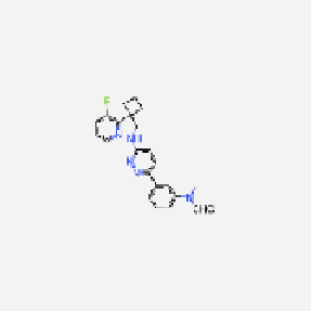 CN(C=O)c1cccc(-c2ccc(NCC3(c4ncccc4F)CCC3)nn2)c1